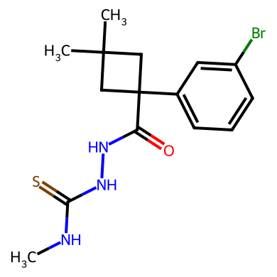 CNC(=S)NNC(=O)C1(c2cccc(Br)c2)CC(C)(C)C1